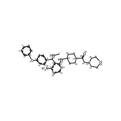 CNC(c1ccc(Oc2ccccc2)cc1)c1c(N)ncnc1NC1CCN(C(=O)CN2CCOCC2)CC1